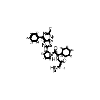 CN[C@@H](C)C(=O)N[C@H](C(=O)N1CCC[C@@H]1c1nc2c(-c3ccccc3)nc(C)nc2s1)C1CCCCC1